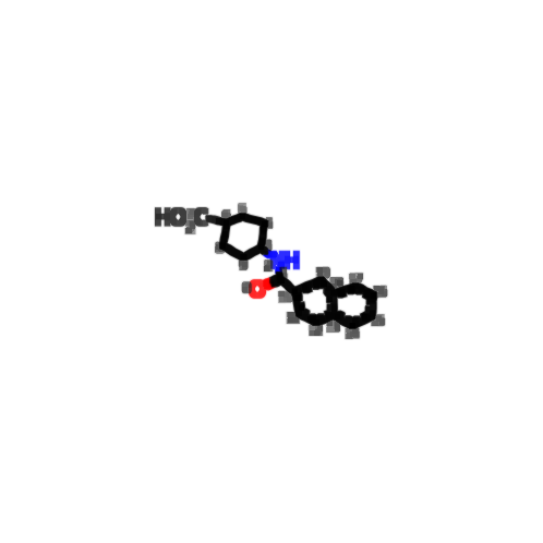 O=C(NC1CCC(C(=O)O)CC1)c1ccc2ccccc2c1